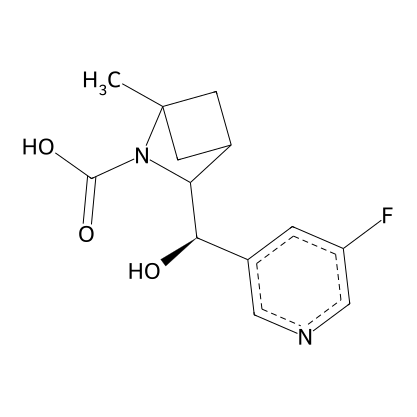 CC12CC(C1)C([C@H](O)c1cncc(F)c1)N2C(=O)O